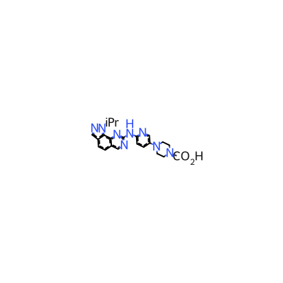 CC(C)n1ncc2ccc3cnc(Nc4ccc(N5CCN(C(=O)O)CC5)cn4)nc3c21